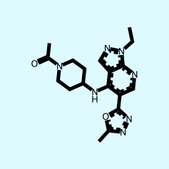 CCn1ncc2c(NC3CCN(C(C)=O)CC3)c(-c3nnc(C)o3)cnc21